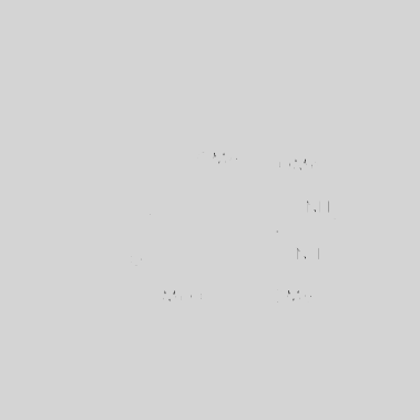 COC1=C(OC)C(N)(N)C(OC)C(OC)=C1C(=O)c1ccccc1